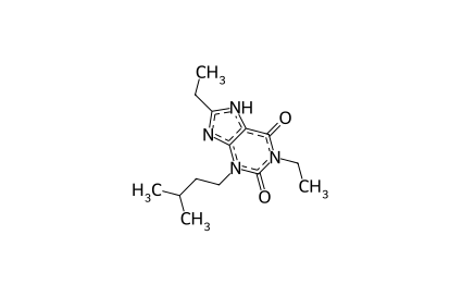 CCc1nc2c([nH]1)c(=O)n(CC)c(=O)n2CCC(C)C